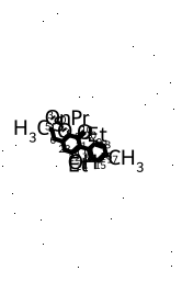 CCCS(=O)(=O)C(C)CC1CC(=O)C(c2c(CC)cc(C)cc2CC)=C(O)C1